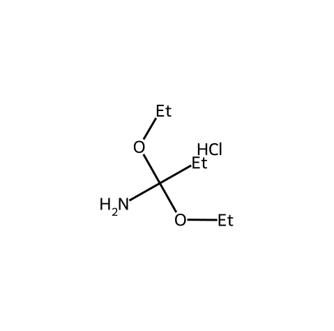 CCOC(N)(CC)OCC.Cl